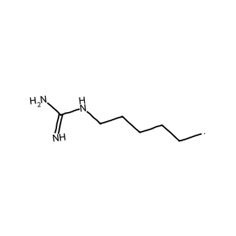 [CH2]CCCCCNC(=N)N